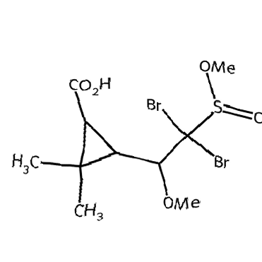 COC(C1C(C(=O)O)C1(C)C)C(Br)(Br)S(=O)OC